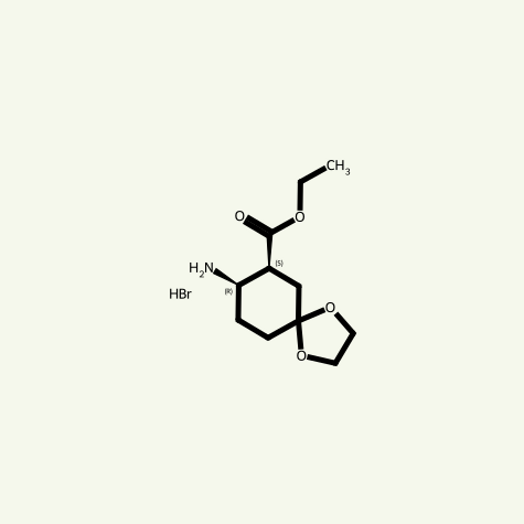 Br.CCOC(=O)[C@H]1CC2(CC[C@H]1N)OCCO2